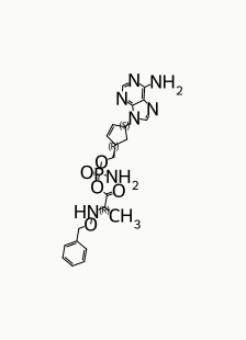 C[C@@H](NOCc1ccccc1)C(=O)OP(N)(=O)OC[C@H]1C=C[C@@H](n2cnc3c(N)ncnc32)C1